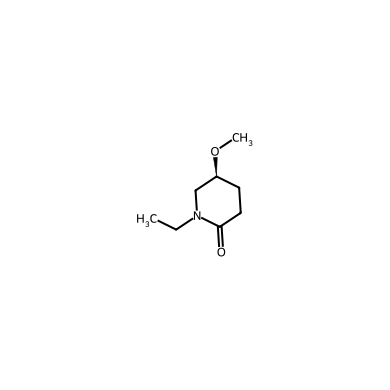 CCN1C[C@@H](OC)CCC1=O